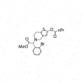 CCCC(=O)Oc1cc2c(s1)CCN(C(C(=O)OC)c1ccccc1Br)C2